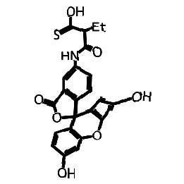 CCC(C(=O)Nc1ccc2c(c1)C(=O)OC21c2ccc(O)cc2Oc2cc(O)ccc21)C(O)=S